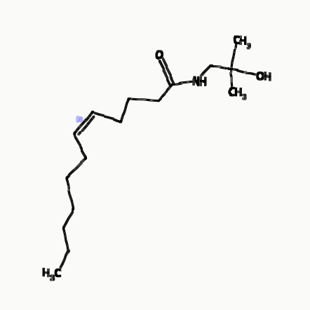 CCCCCC/C=C\CCCC(=O)NCC(C)(C)O